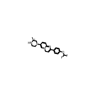 C[C@H]1CN(C2=CN3CC=C(c4ccc(OC(F)F)cc4)N=C3C=C2)CCN1